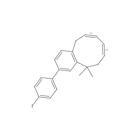 CC1(C)C/C=C\C=C/Cc2ccc(-c3ccc(I)cc3)cc21